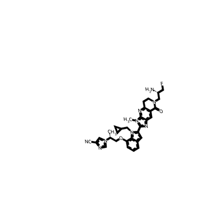 C[C@H](COc1cccc2cc(-c3nc4cc5c(nc4n3C)CCN(C[C@H](N)CF)C5=O)n(CC3CC3)c12)n1cnc(C#N)c1